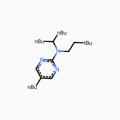 CCCCc1cnc(N(CCC(C)(C)C)C(CCCC)CCCC)nc1